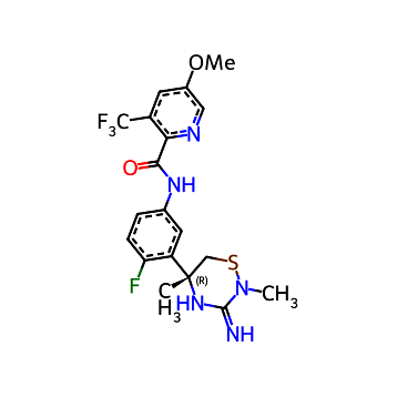 COc1cnc(C(=O)Nc2ccc(F)c([C@]3(C)CSN(C)C(=N)N3)c2)c(C(F)(F)F)c1